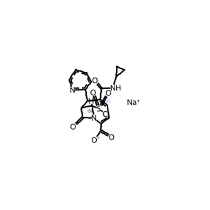 O=C([O-])C1=C2/C=C(/C(=O)NC3CC3)C(c3ccccn3)C3C(=O)N1[C@H]3S(=O)(=O)C2.[Na+]